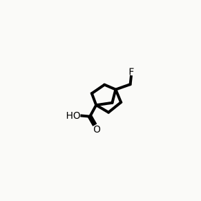 O=C(O)C12CCC(CF)(CC1)C2